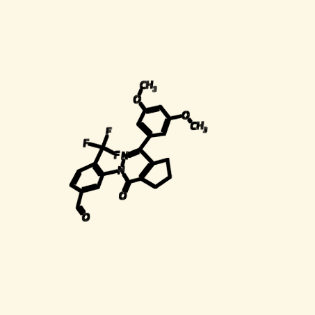 COc1cc(OC)cc(-c2nn(-c3cc(C=O)ccc3C(F)(F)F)c(=O)c3c2CCC3)c1